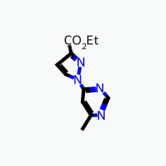 CCOC(=O)c1ccn(-c2cc(C)ncn2)n1